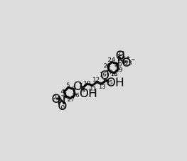 O=[N+]([O-])C1CCC(OC(O)CCCCC(O)OC2CCC([N+](=O)[O-])CC2)CC1